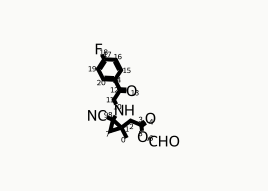 CC1(CC(=O)OC=O)CC1(C#N)NCC(=O)c1ccc(F)cc1